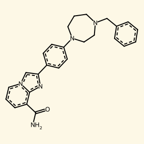 NC(=O)c1cccn2cc(-c3ccc(N4CCCN(Cc5ccccc5)CC4)cc3)nc12